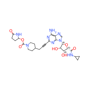 Nc1nc(C#CCC2CCN(C(=O)OC3CCC(=O)N3)CC2)nc2c1ncn2[C@@H]1O[C@H](C(=O)NC2CC2)[C@H](O)C1O